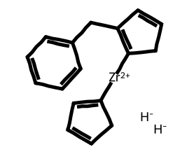 C1=CC[C]([Zr+2][C]2=C(Cc3ccccc3)C=CC2)=C1.[H-].[H-]